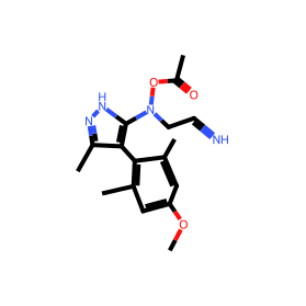 COc1cc(C)c(-c2c(C)n[nH]c2N(CC=N)OC(C)=O)c(C)c1